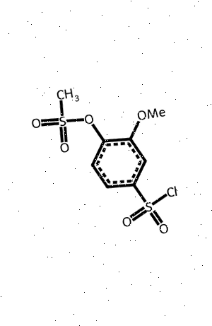 COc1cc(S(=O)(=O)Cl)ccc1OS(C)(=O)=O